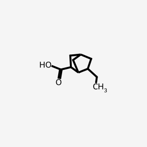 CCC1CC2CC(C(=O)O)C1C2